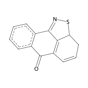 O=C1C2=C3C(=NSC3CC=C2)c2ccccc21